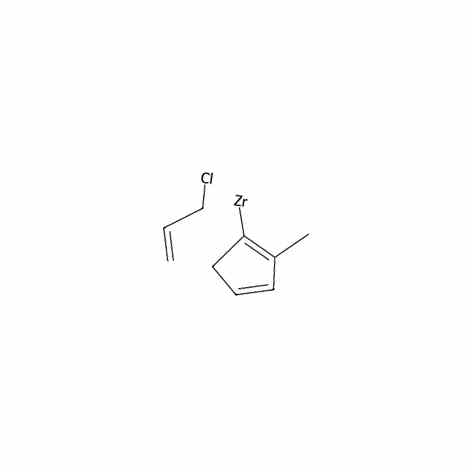 C=CCCl.CC1=[C]([Zr])CC=C1